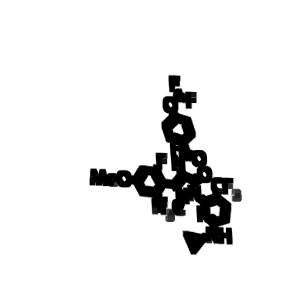 COc1cc(F)c(-c2c(NC(=O)c3ccc(OC(F)F)cc3)c(=O)n(-c3nc(NC4CC4)ccc3C(F)(F)F)n2C)c(F)c1